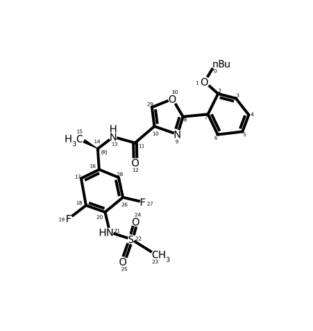 CCCCOc1ccccc1-c1nc(C(=O)N[C@H](C)c2cc(F)c(NS(C)(=O)=O)c(F)c2)co1